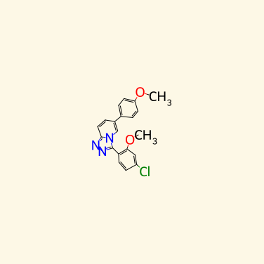 COc1ccc(-c2ccc3nnc(-c4ccc(Cl)cc4OC)n3c2)cc1